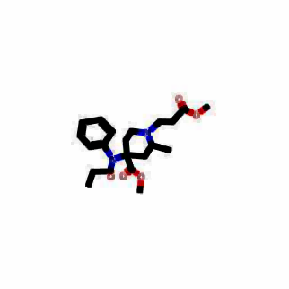 CCC(=O)N(c1ccccc1)C1(C(=O)OC)CCN(CCC(=O)OC)C(C)C1